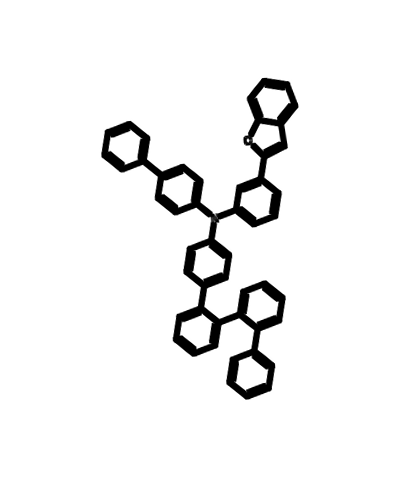 c1ccc(-c2ccc(N(c3ccc(-c4ccccc4-c4ccccc4-c4ccccc4)cc3)c3cccc(-c4cc5ccccc5o4)c3)cc2)cc1